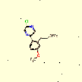 COCCc1cc(OC(F)(F)F)ccc1-c1cnc(Cl)cn1